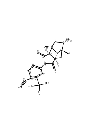 C[C@]12C[C@H](N)[C@](C)(C[C@H]3C(=O)N(c4ccc(C#N)c(C(F)(F)F)c4)C(=O)[C@H]31)O2